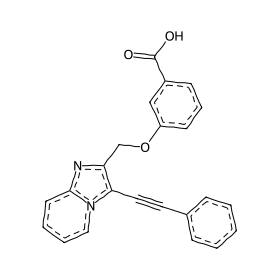 O=C(O)c1cccc(OCc2nc3ccccn3c2C#Cc2ccccc2)c1